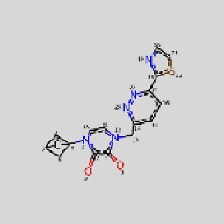 O=c1c(=O)n(C23CC(C2)C3)ccn1Cc1ccc(-c2nccs2)nn1